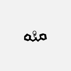 O=C=C(Cc1ccccc1)Cc1ccccc1